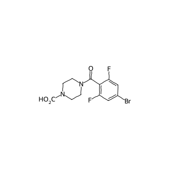 O=C(O)N1CCN(C(=O)c2c(F)cc(Br)cc2F)CC1